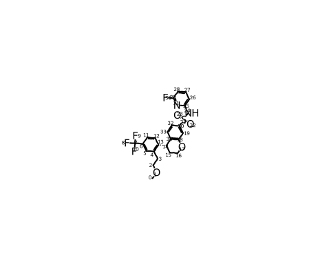 COCCc1cc(C(F)(F)F)ccc1[C@H]1CCOc2cc(S(=O)(=O)Nc3cccc(F)n3)ccc21